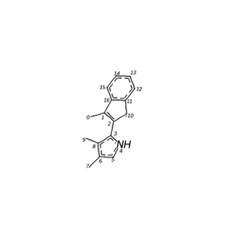 CC1=C(c2[nH]cc(C)c2C)[CH]c2ccccc21